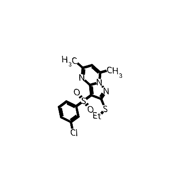 CCSc1nn2c(C)cc(C)nc2c1S(=O)(=O)c1cccc(Cl)c1